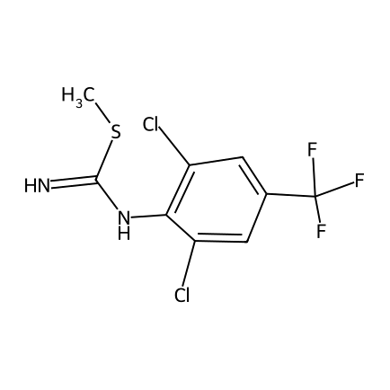 CSC(=N)Nc1c(Cl)cc(C(F)(F)F)cc1Cl